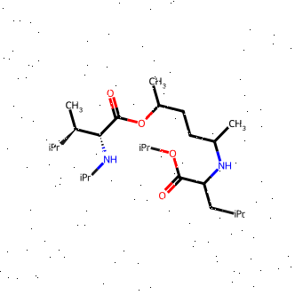 CC(C)CC(NC(C)CCC(C)OC(=O)[C@H](NC(C)C)[C@H](C)C(C)C)C(=O)OC(C)C